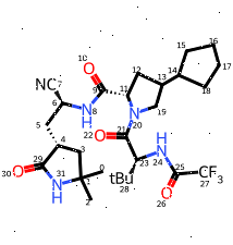 CC1(C)C[C@@H](C[C@@H](C#N)NC(=O)[C@@H]2CC(C3CCCC3)CN2C(=O)[C@@H](NC(=O)C(F)(F)F)C(C)(C)C)C(=O)N1